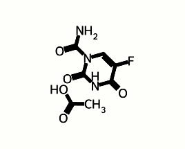 CC(=O)O.NC(=O)n1cc(F)c(=O)[nH]c1=O